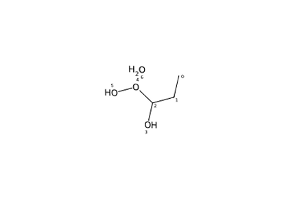 CCC(O)OO.O